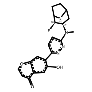 CN(c1ccc(-c2cc3occc(=O)c3cc2O)nn1)[C@@H]1CC2CCC(N2)[C@@H]1F